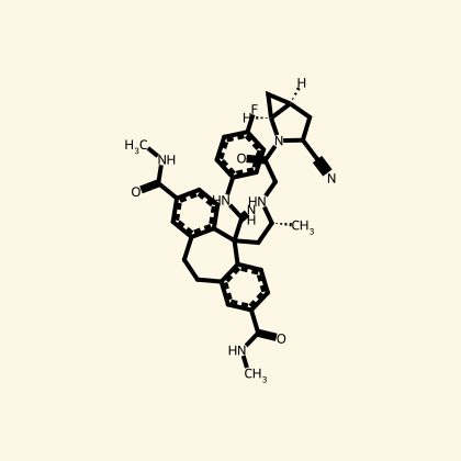 CNC(=O)c1ccc2c(c1)CCc1cc(C(=O)NC)ccc1C2(C[C@@H](C)NCC(=O)N1C(C#N)C[C@@H]2C[C@@H]21)C(=N)Nc1ccc(F)cc1